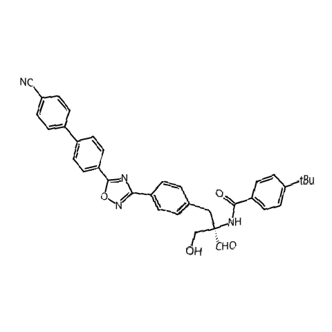 CC(C)(C)c1ccc(C(=O)N[C@@](C=O)(CO)Cc2ccc(-c3noc(-c4ccc(-c5ccc(C#N)cc5)cc4)n3)cc2)cc1